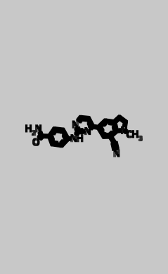 CN1CCc2cc(-c3ccnc(Nc4ccc(C(N)=O)cc4)n3)cc(C#N)c21